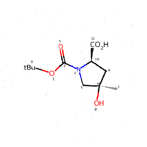 CC(C)(C)OC(=O)N1C[C@](C)(O)C[C@@H]1C(=O)O